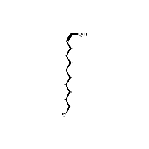 CC(C)CCCCCCCCC/C=C\C(=O)O